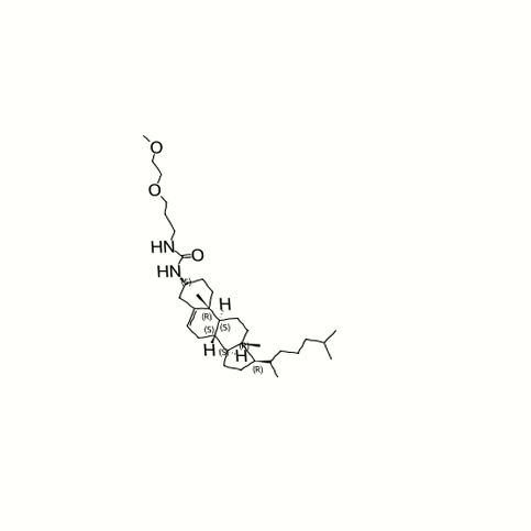 COCCOCCCNC(=O)N[C@H]1CC[C@@]2(C)C(=CC[C@H]3[C@@H]4CC[C@H](C(C)CCCC(C)C)[C@@]4(C)CC[C@@H]32)C1